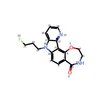 O=C1NCCOc2c1ccc1c2c2ncccc2n1CCCF